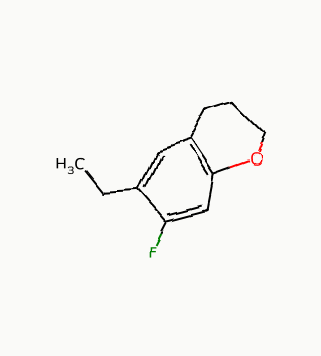 CCc1cc2c(cc1F)OCCC2